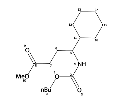 CCCCOC(=O)NC(CCC(=O)OC)C1CCCCC1